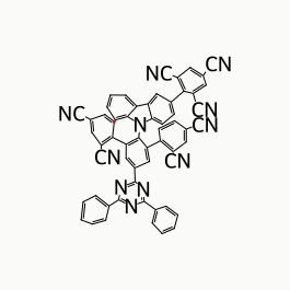 N#Cc1ccc(-c2cc(-c3nc(-c4ccccc4)nc(-c4ccccc4)n3)cc(-c3ccc(C#N)cc3C#N)c2-n2c3ccccc3c3cc(-c4c(C#N)cc(C#N)cc4C#N)ccc32)c(C#N)c1